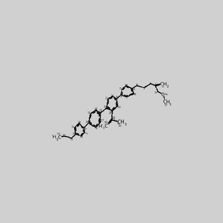 C=C(CCCc1ccc(-c2ccc(-c3ccc(-c4ccc(CCC)cc4)cc3)c(C(=C)C)c2)cc1)COC